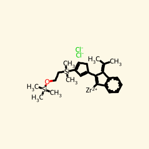 CC(C)=C1C(C2=CC([Si](C)(C)CCO[Si](C)(C)C)=CC2)=[C]([Zr+2])c2ccccc21.[Cl-].[Cl-]